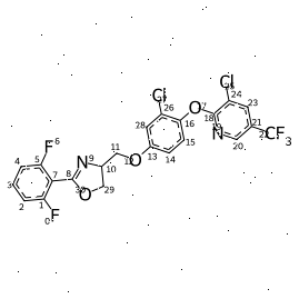 Fc1cccc(F)c1C1=NC(COc2ccc(Oc3ncc(C(F)(F)F)cc3Cl)c(Cl)c2)CO1